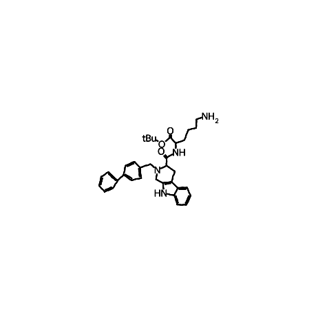 CC(C)(C)OC(=O)C(CCCCN)NC(=O)C1Cc2c([nH]c3ccccc23)CN1Cc1ccc(-c2ccccc2)cc1